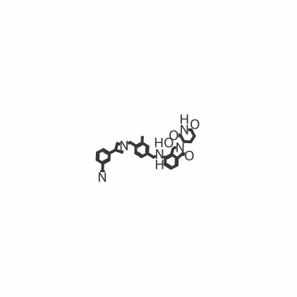 Cc1cc(CNc2cccc3c2C(O)N(C2CCC(=O)NC2=O)C3=O)ccc1CN1CC(c2cccc(C#N)c2)C1